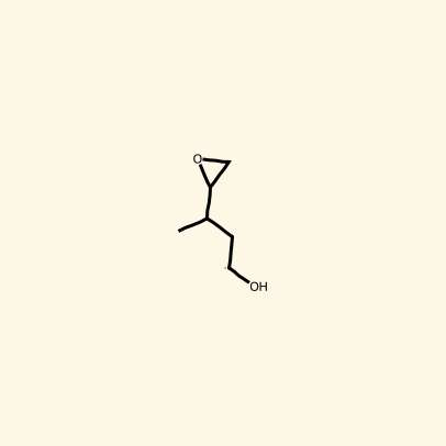 CC(C[CH]O)C1CO1